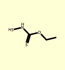 CCOC(=S)NS